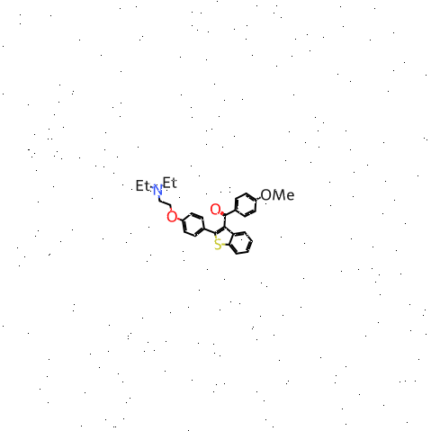 CCN(CC)CCOc1ccc(-c2sc3ccccc3c2C(=O)c2ccc(OC)cc2)cc1